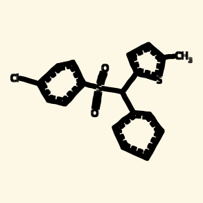 Cc1ccc(C(c2ccccc2)S(=O)(=O)c2ccc(Cl)cc2)s1